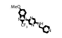 COc1ccc2c(c1)nc(C(F)(F)F)n2-c1cnc(NCc2ccncc2)cn1